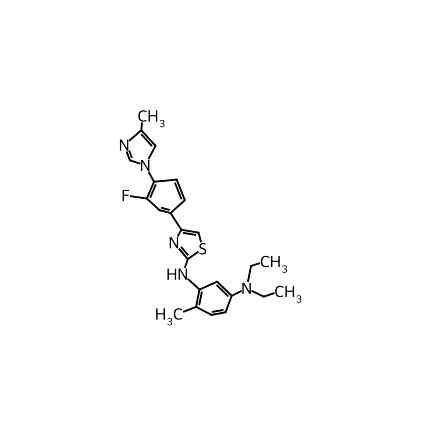 CCN(CC)c1ccc(C)c(Nc2nc(-c3ccc(-n4cnc(C)c4)c(F)c3)cs2)c1